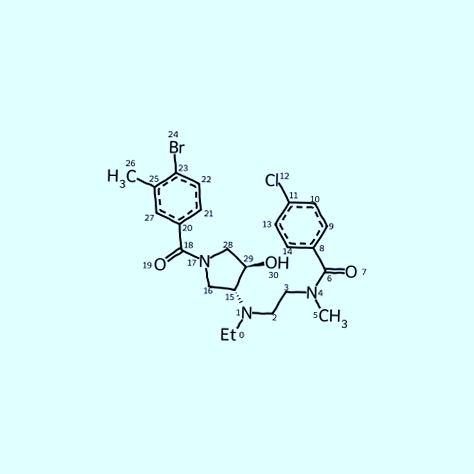 CCN(CCN(C)C(=O)c1ccc(Cl)cc1)[C@@H]1CN(C(=O)c2ccc(Br)c(C)c2)C[C@H]1O